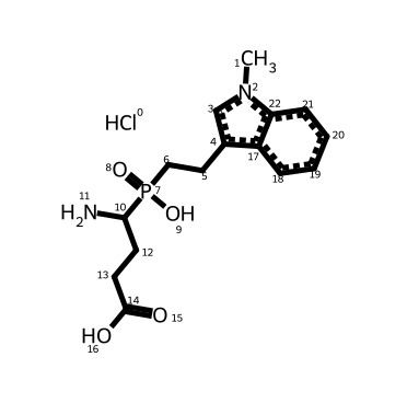 Cl.Cn1cc(CCP(=O)(O)C(N)CCC(=O)O)c2ccccc21